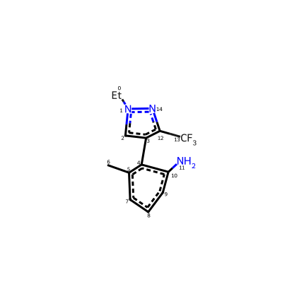 CCn1cc(-c2c(C)cccc2N)c(C(F)(F)F)n1